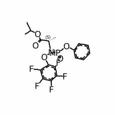 CC(C)OC(=O)[C@H](C)N(Oc1c(F)c(F)c(F)c(F)c1F)[PH](=O)Oc1ccccc1